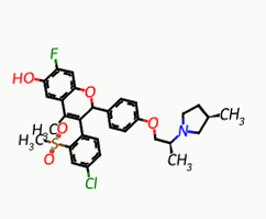 CC1=C(c2ccc(Cl)cc2S(C)(=O)=O)C(c2ccc(OC[C@H](C)N3CC[C@@H](C)C3)cc2)Oc2cc(F)c(O)cc21